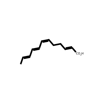 C/C=C/C=C/C=C\CC/C=C/C(=O)O